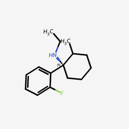 CCN[C@]1(c2ccccc2F)CCCCC1C